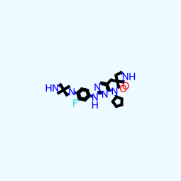 O=C1NCCC12Cc1cnc(Nc3ccc(N4CC5(CNC5)C4)c(F)c3)nc1N(C1CCCC1)C2=O